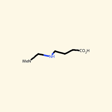 CNCNCCCC(=O)O